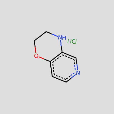 Cl.c1cc2c(cn1)NCCO2